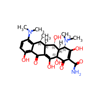 C[C@H]1c2c(N(C)C)ccc(O)c2C(=O)C2=C(O)[C@]3(O)C(=O)C(C(N)=O)=C(O)[C@@H](N(C)C)[C@@H]3[C@@H](O)[C@@H]21